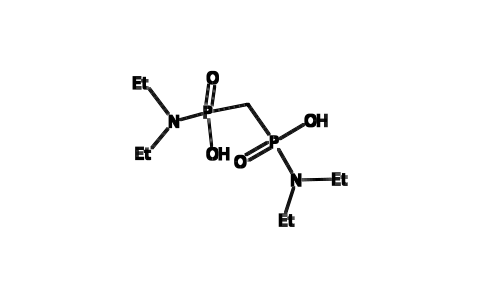 CCN(CC)P(=O)(O)CP(=O)(O)N(CC)CC